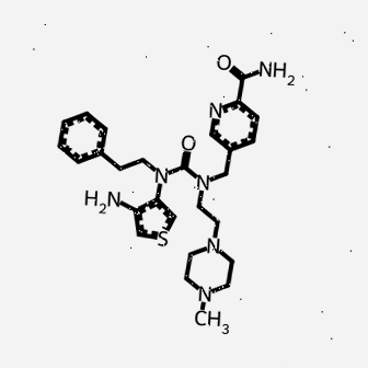 CN1CCN(CCN(Cc2ccc(C(N)=O)nc2)C(=O)N(CCc2ccccc2)c2cscc2N)CC1